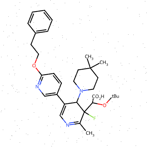 CC1=NC=C(c2ccc(OCCc3ccccc3)nc2)C(N2CCC(C)(C)CC2)C1(F)C(OC(C)(C)C)C(=O)O